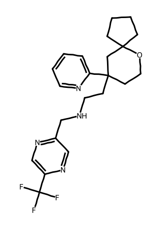 FC(F)(F)c1cnc(CNCCC2(c3ccccn3)CCOC3(CCCC3)C2)cn1